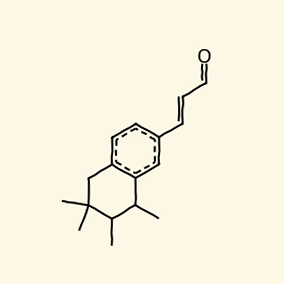 CC1c2cc(/C=C/C=O)ccc2CC(C)(C)C1C